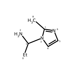 CCC(N)n1ccnc1C